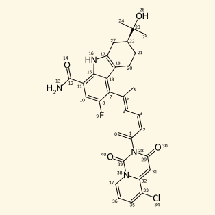 C=C(/C=C\C=C(/C)c1c(F)cc(C(N)=O)c2[nH]c3c(c12)CC[C@H](C(C)(C)O)C3)n1c(=O)cc2c(Cl)cccn2c1=O